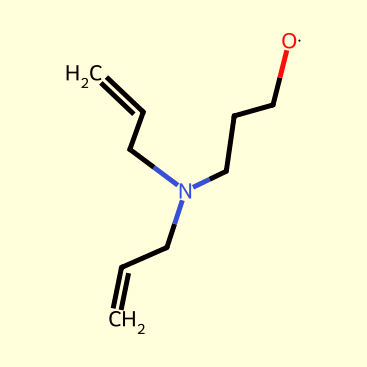 C=CCN(CC=C)CCC[O]